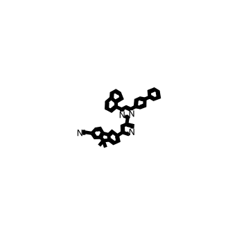 CC1(C)c2ccc(-c3cncc(-c4nc(-c5ccc(-c6ccccc6)cc5)cc(-c5cccc6ccccc56)n4)c3)cc2-c2ccc(C#N)cc21